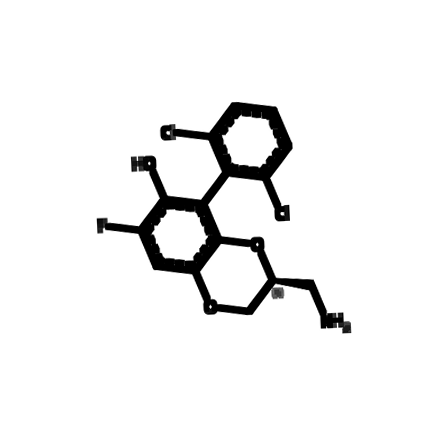 NC[C@H]1COc2cc(F)c(O)c(-c3c(Cl)cccc3Cl)c2O1